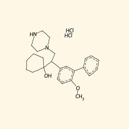 COc1ccc(C(CN2CCNCC2)C2(O)CCCCC2)cc1-c1ccccc1.Cl.Cl